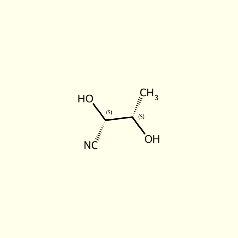 C[C@H](O)[C@@H](O)C#N